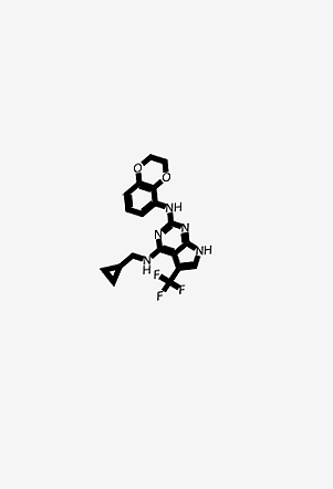 FC(F)(F)c1c[nH]c2nc(Nc3cc[c]c4c3OCCO4)nc(NCC3CC3)c12